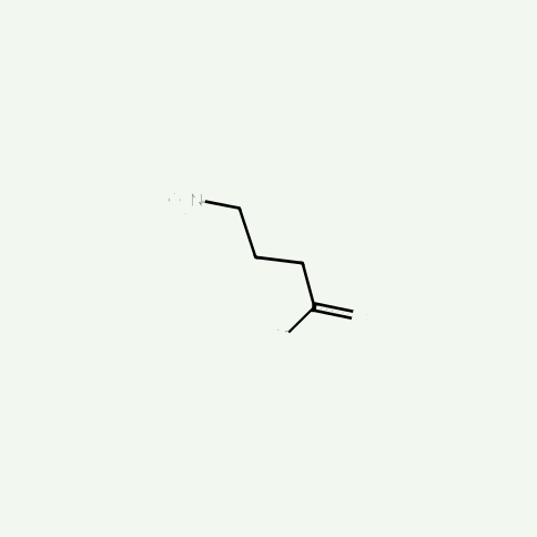 O=C(Cl)CCC[N+](=O)[O-]